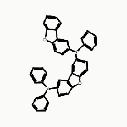 c1ccc(N(c2ccccc2)c2ccc3oc4ccc(N(c5ccccc5)c5ccc6oc7ccccc7c6c5)cc4c3c2)cc1